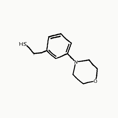 S[CH]c1cccc(N2CCOCC2)c1